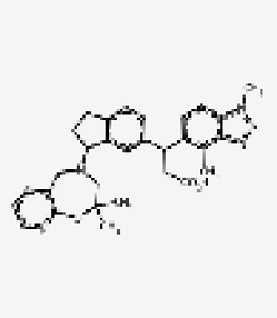 Cc1c(C(CC(=O)O)c2ccc3c(c2)C(N2Cc4cccnc4OC(C)(C)C2)CC3)ccc2c1nnn2C